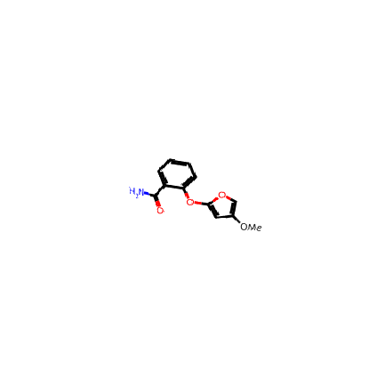 COc1coc(Oc2ccccc2C(N)=O)c1